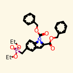 CCOP(=O)(Cc1ccc2c(c1)cc(C(=O)OCc1ccccc1)n2C(=O)OCc1ccccc1)OCC